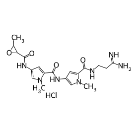 CC1OC1C(=O)Nc1cc(C(=O)Nc2cc(C(=O)NCCC(=N)N)n(C)c2)n(C)c1.Cl